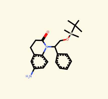 CC(C)(C)[Si](C)(C)OCC(c1ccccc1)N1C(=O)CCc2cc(N)ccc21